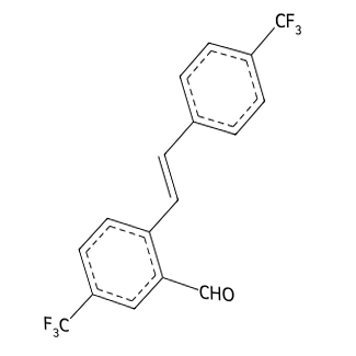 O=Cc1cc(C(F)(F)F)ccc1/C=C/c1ccc(C(F)(F)F)cc1